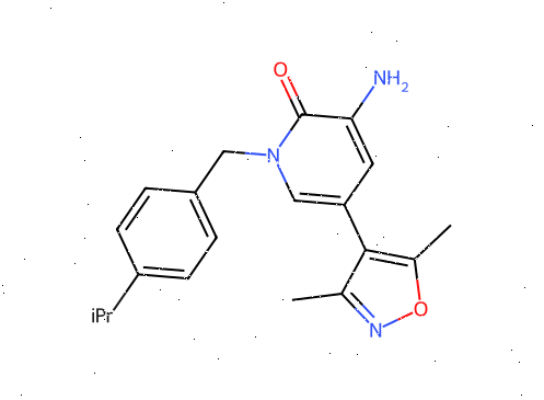 Cc1noc(C)c1-c1cc(N)c(=O)n(Cc2ccc(C(C)C)cc2)c1